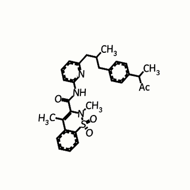 CC(=O)C(C)c1ccc(CC(C)Cc2cccc(NC(=O)C3=C(C)c4ccccc4S(=O)(=O)N3C)n2)cc1